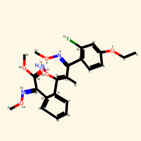 CCOc1ccc(C(=N/OC)/C(C)=C(\ON)c2ccccc2/C(=N\OC)C(=O)OC)c(F)c1